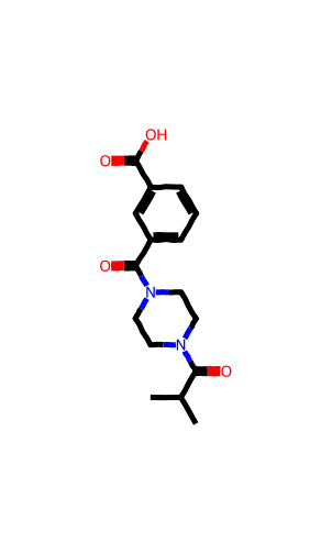 CC(C)C(=O)N1CCN(C(=O)c2cccc(C(=O)O)c2)CC1